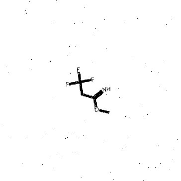 COC(=N)CC(F)(F)F